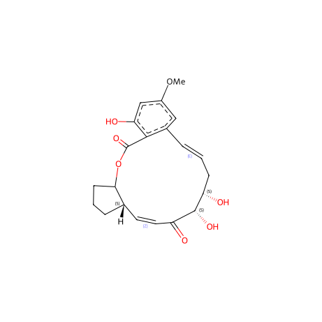 COc1cc(O)c2c(c1)/C=C/C[C@H](O)[C@H](O)C(=O)/C=C\[C@@H]1CCCC1OC2=O